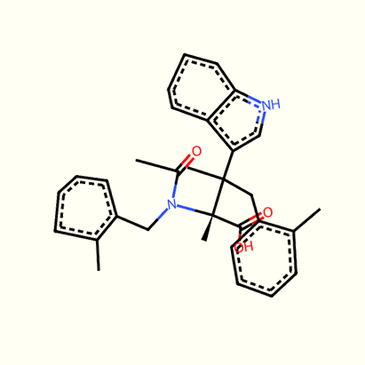 CC(=O)N(Cc1ccccc1C)[C@@](C)(C(=O)O)C(C)(Cc1ccccc1C)c1c[nH]c2ccccc12